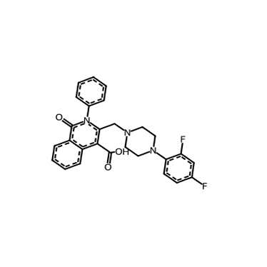 O=C(O)c1c(CN2CCN(c3ccc(F)cc3F)CC2)n(-c2ccccc2)c(=O)c2ccccc12